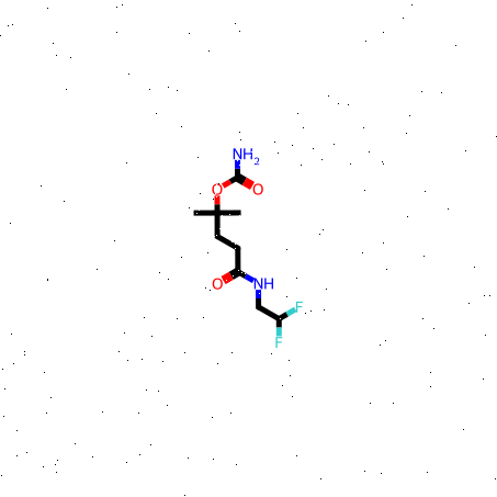 CC(C)(CCC(=O)NCC(F)F)OC(N)=O